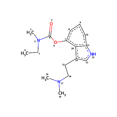 CCN(C)C(=O)Oc1cccc2[nH]cc(CCN(C)C)c12